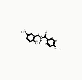 O=C(NCc1cc(O)ccc1O)c1ccc(C(F)(F)F)cc1